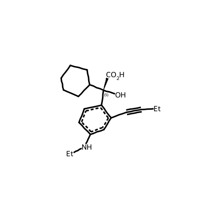 CCC#Cc1cc(NCC)ccc1[C@](O)(C(=O)O)C1CCCCC1